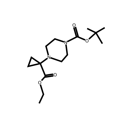 CCOC(=O)C1(N2CCN(C(=O)OC(C)(C)C)CC2)CC1